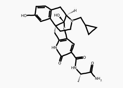 C[C@H](NC(=O)c1cc2c([nH]c1=O)C[C@]13CCN(CC4CC4)[C@H](Cc4ccc(O)cc41)[C@]3(O)C2)C(N)=O